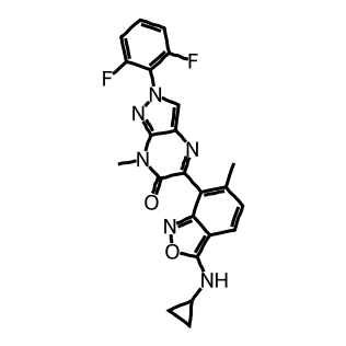 Cc1ccc2c(NC3CC3)onc2c1-c1nc2cn(-c3c(F)cccc3F)nc2n(C)c1=O